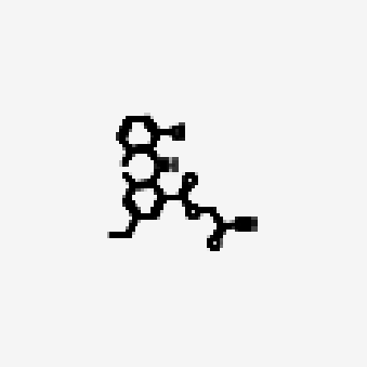 CCc1cc(C)c(Nc2c(C)cccc2Cl)c(C(=O)OCC(=O)O)c1